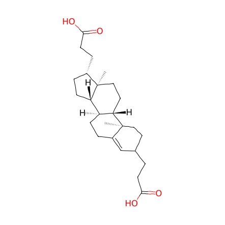 C[C@]12CC[C@H]3[C@@H](CCC4=CC(CCC(=O)O)CC[C@@]43C)[C@@H]1CC[C@@H]2CCC(=O)O